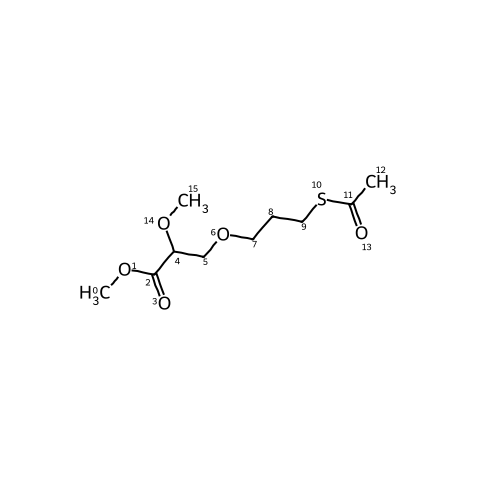 COC(=O)C(COCCCSC(C)=O)OC